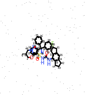 C[C@@H]1COc2c(S(=O)(=NC(c3ccccc3)(c3ccccc3)c3ccccc3)NC(=O)Nc3c4c(cc5c3C[C@@H](F)C5)CCC4)cnn2C1